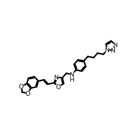 C(=Cc1nc(CNc2ccc(CCCCn3ccnn3)cc2)co1)c1ccc2c(c1)OCO2